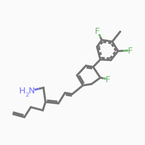 C=CCC/C(=C/C=C/C1=CC=C(c2cc(F)c(C)c(F)c2)C(F)C1)CN